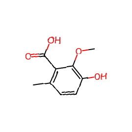 COc1c(O)ccc(C)c1C(=O)O